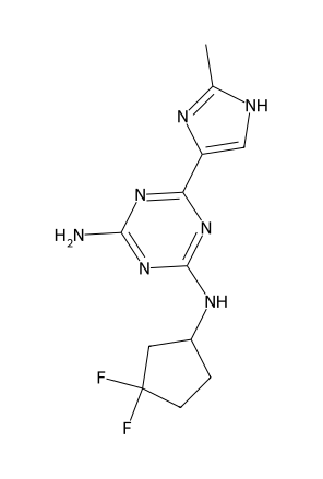 Cc1nc(-c2nc(N)nc(NC3CCC(F)(F)C3)n2)c[nH]1